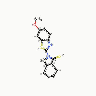 COc1ccc2nc(-n3[se]c4ccccc4c3=S)sc2c1